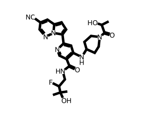 CC(O)C(=O)N1CCC(Nc2cc(-c3ccc4cc(C#N)cnn34)ncc2C(=O)NCC(F)C(C)(C)O)CC1